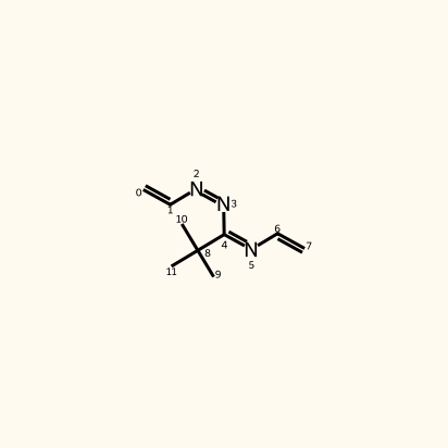 C=C/N=N\C(=N/C=C)C(C)(C)C